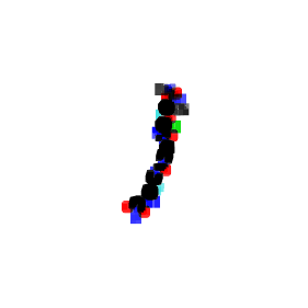 CCN(C)S(=O)(=O)Nc1ccc(F)c(Oc2ccc3ncn([C@@H]4CCC5(CCN(C(=O)CN6CCC(c7ccc(NC8CCC(=O)NC8=O)cc7F)CC6)CC5)C4)c(=O)c3c2Cl)c1C#N